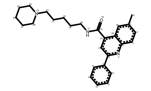 Cc1ccc2nc(-c3ccccc3)cc(C(=O)NCCCCCN3CCCCC3)c2c1